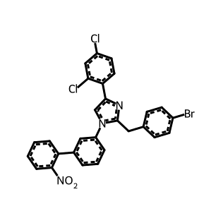 O=[N+]([O-])c1ccccc1-c1cccc(-n2cc(-c3ccc(Cl)cc3Cl)nc2Cc2ccc(Br)cc2)c1